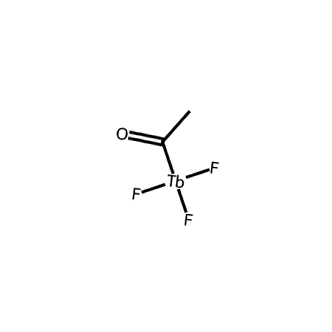 C[C](=O)[Tb]([F])([F])[F]